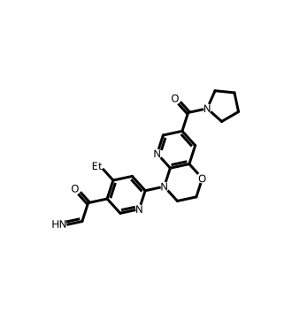 CCc1cc(N2CCOc3cc(C(=O)N4CCCC4)cnc32)ncc1C(=O)C=N